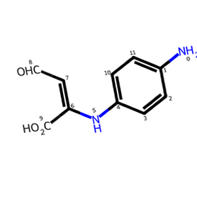 Nc1ccc(NC(=CC=O)C(=O)O)cc1